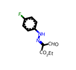 CCOC(=O)/C(C=O)=N/Nc1ccc(F)cc1